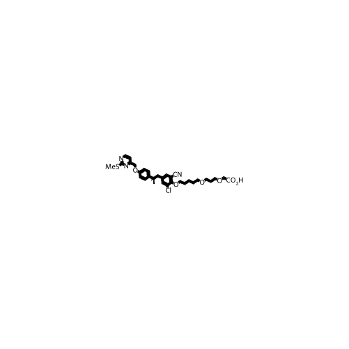 CSc1nccc(COc2ccc([C@H](C)Cc3cc(Cl)c(OCCCCCOCCCOCC(=O)O)c(C#N)c3)cc2)n1